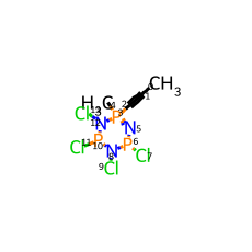 CC#CP1(C)=NP(Cl)N(Cl)P(Cl)N1Cl